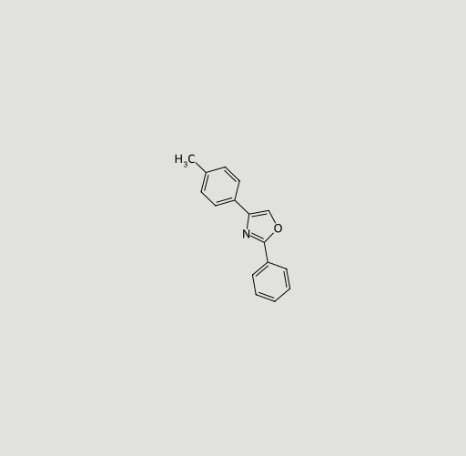 Cc1ccc(-c2coc(-c3ccccc3)n2)cc1